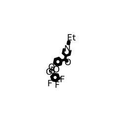 CCC#CN1CCC(C(=O)c2cccc(OS(=O)(=O)c3cc(F)c(F)c(F)c3)c2)CC1